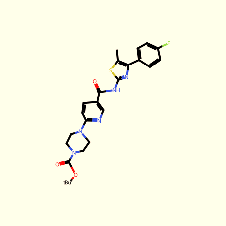 Cc1sc(NC(=O)c2ccc(N3CCN(C(=O)OC(C)(C)C)CC3)nc2)nc1-c1ccc(F)cc1